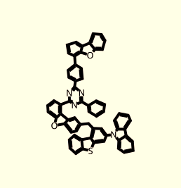 c1ccc(-c2nc(-c3ccc(-c4cccc5c4oc4ccccc45)cc3)nc(-c3cccc4oc5ccc(Cc6cc(-n7c8ccccc8c8ccccc87)cc7sc8ccccc8c67)cc5c34)n2)cc1